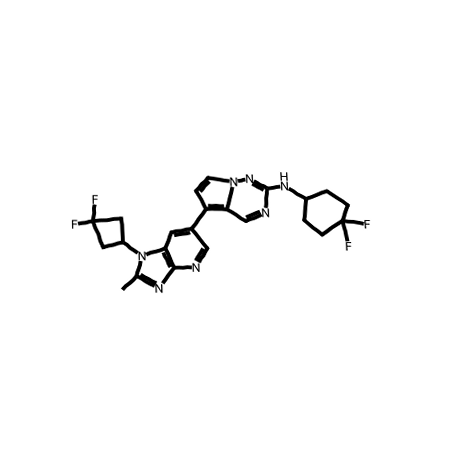 Cc1nc2ncc(-c3ccn4nc(NC5CCC(F)(F)CC5)ncc34)cc2n1C1CC(F)(F)C1